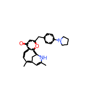 CC1=C/C2=C(\C)C=C=c3c(=O)cc(Cc4ccc(N5CCCC5)cc4)o/c3=C(/C2)N1